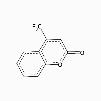 O=c1cc(C(F)(F)F)c2ccccc2o1